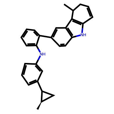 CC1CC=Cc2[nH]c3ccc(-c4ccccc4Nc4cccc(C5C[C@H]5C)c4)cc3c21